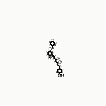 O=C(C=Cc1cc(OCc2ccccc2)ccc1[N+](=O)[O-])CC(=O)CCc1ccc(O)cc1